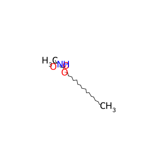 CCCCCCCCCCCCCCCCCOC(=O)CNC(C)=O